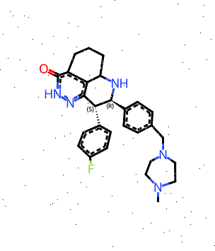 CN1CCN(Cc2ccc([C@@H]3NC4CCCc5c4c(n[nH]c5=O)[C@H]3c3ccc(F)cc3)cc2)CC1